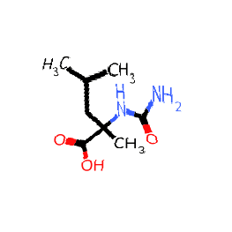 CC(C)CC(C)(NC(N)=O)C(=O)O